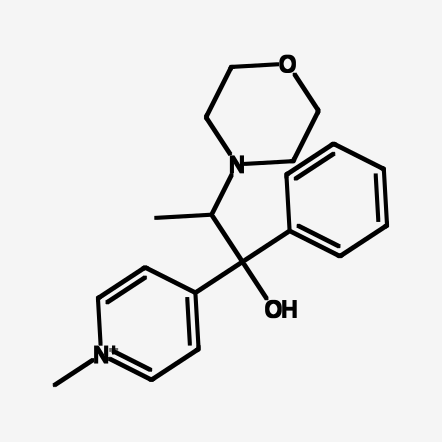 CC(N1CCOCC1)C(O)(c1ccccc1)c1cc[n+](C)cc1